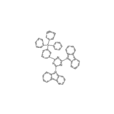 c1ccc(S(c2ccccc2)(c2ccccc2)c2cccc(-c3nc(-n4c5ccccc5c5ccccc54)nc(-n4c5ccccc5c5ccccc54)n3)c2)cc#1